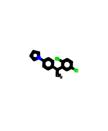 C=C(c1ccc(-n2cccc2)cc1)c1cc(Cl)ccc1Cl